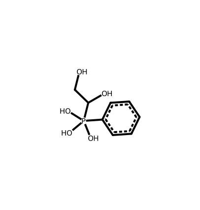 OCC(O)P(O)(O)(O)c1ccccc1